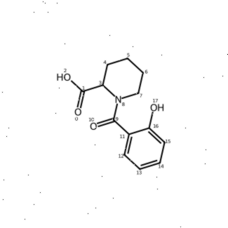 O=C(O)C1CCCCN1C(=O)c1ccccc1O